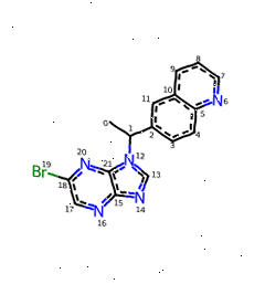 CC(c1ccc2ncccc2c1)n1cnc2ncc(Br)nc21